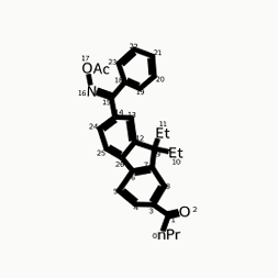 CCCC(=O)c1ccc2c(c1)C(CC)(CC)c1cc(C(=NOC(C)=O)c3ccccc3)ccc1-2